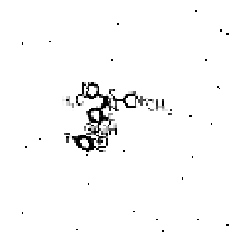 CCN1CCC(c2nc(-c3cccc(NS(=O)(=O)c4cc(F)ccc4F)c3F)c(-c3ccnc(C)c3)s2)CC1